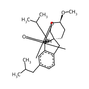 CO[C@H]1CC[C@]2(CC1)Cc1ccc(CC(C)C)cc1C21NC(=O)N(C(C)C)C1=O